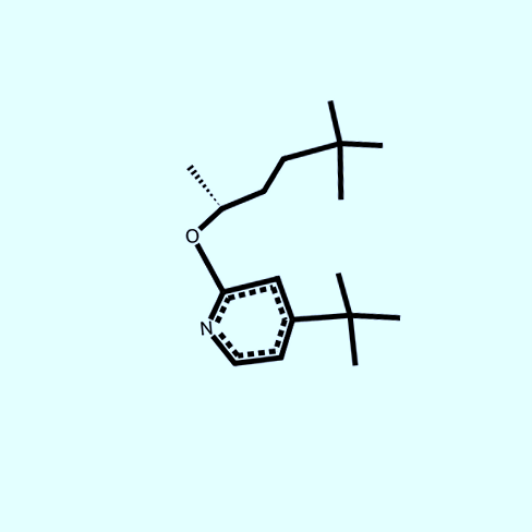 C[C@H](CCC(C)(C)C)Oc1cc(C(C)(C)C)ccn1